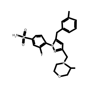 Cc1cccc(Cc2cc(CN3CCOCC3C)nn2-c2ccc(S(N)(=O)=O)cc2F)c1